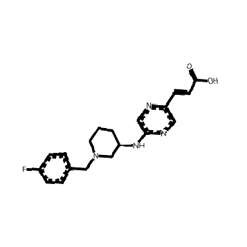 O=C(O)/C=C/c1cnc(N[C@@H]2CCCN(Cc3ccc(F)cc3)C2)cn1